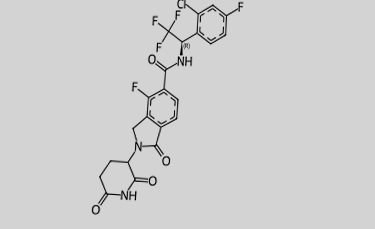 O=C1CCC(N2Cc3c(ccc(C(=O)N[C@H](c4ccc(F)cc4Cl)C(F)(F)F)c3F)C2=O)C(=O)N1